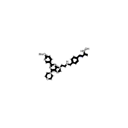 C=C(/C=C/c1ccc(CNCCn2cnc3c(N4CCOCC4)nc(-c4ccc(OC)nc4)nc32)cc1)NO